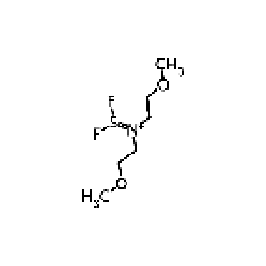 COCC[N+](CCOC)=S(F)F